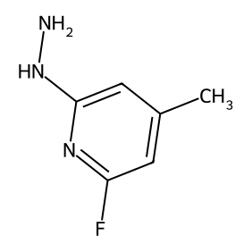 Cc1cc(F)nc(NN)c1